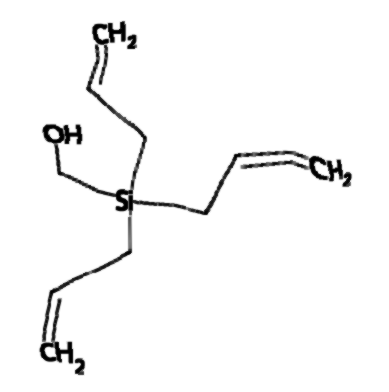 C=CC[Si](CO)(CC=C)CC=C